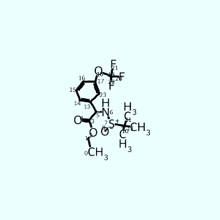 CCOC(=O)[C@H](N[S@+]([O-])C(C)(C)C)c1cccc(OC(F)(F)F)c1